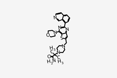 CC(C)(C(N)=O)N1CCN(Cc2cc3nc(-c4cccc5ccncc45)nc(N4CCOCC4)c3s2)CC1